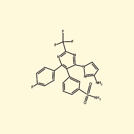 Nc1ccn(-c2nc(C(F)(F)F)nc(-c3ccc(F)cc3)c2-c2cccc(S(N)(=O)=O)c2)n1